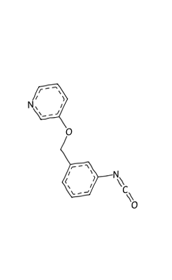 O=C=Nc1cccc(COc2cccnc2)c1